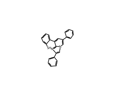 Sc1ccccc1-c1cc(-c2ccccc2)cn2cc(-c3ccccc3)nc12